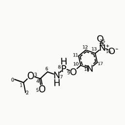 CC(C)OC(=O)CNPOc1ccc([N+](=O)[O-])cn1